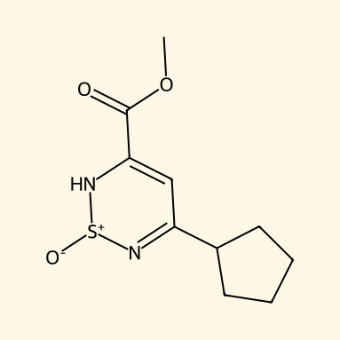 COC(=O)C1=CC(C2CCCC2)=N[S+]([O-])N1